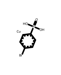 O=P(O)(O)c1ccc(Br)cc1.[Cu]